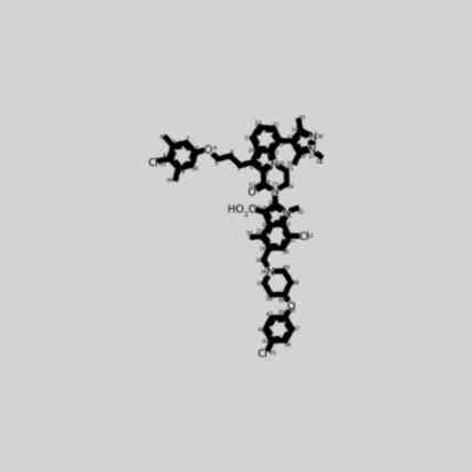 Cc1cc(OCCCc2c3n(c4c(-c5c(C)nn(C)c5C)cccc24)CCN(c2c(C(=O)O)c4c(C)c(CN5CCC(Oc6ccc(Cl)cc6)CC5)cc(Cl)c4n2C)C3=O)cc(C)c1Cl